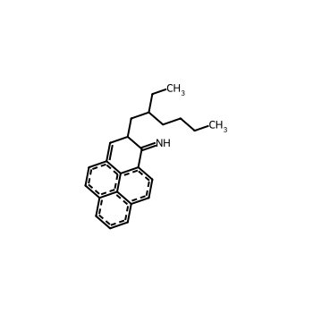 CCCCC(CC)CC1C=c2ccc3cccc4ccc(c2c43)C1=N